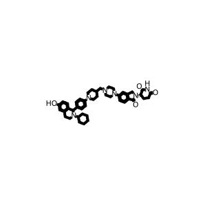 O=C1CC[C@H](N2Cc3cc(N4CCN(CC5CCN(c6ccc(C7c8ccc(O)cc8CCN7C7CCCCC7)cc6)CC5)CC4)ccc3C2=O)C(=O)N1